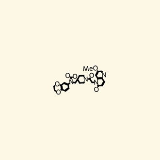 COc1cnc2ccc(=O)n(CC(=O)N3CCC4(CC3)CN(c3ccc5c(c3)OCCO5)C(=O)O4)c2c1